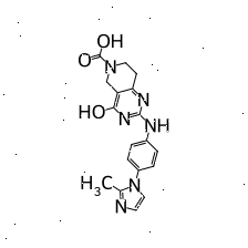 Cc1nccn1-c1ccc(Nc2nc(O)c3c(n2)CCN(C(=O)O)C3)cc1